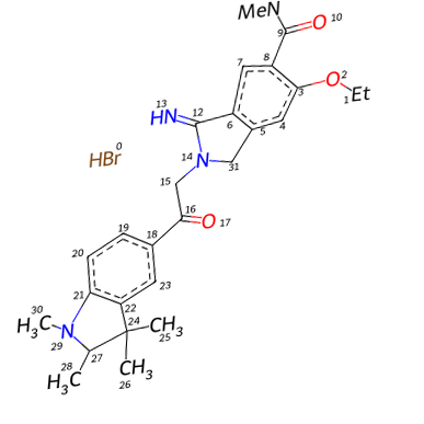 Br.CCOc1cc2c(cc1C(=O)NC)C(=N)N(CC(=O)c1ccc3c(c1)C(C)(C)C(C)N3C)C2